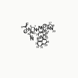 C=C(F)C(=O)N1CCN(c2nc(=O)n(C[C@@H]3CCCN3C)c3c2CCN(c2cccc4cccc(C)c24)C32CC2)C[C@@H]1CC#N